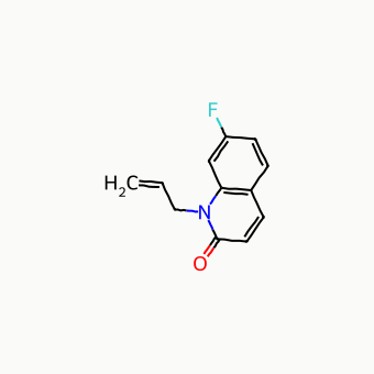 C=CCn1c(=O)ccc2ccc(F)cc21